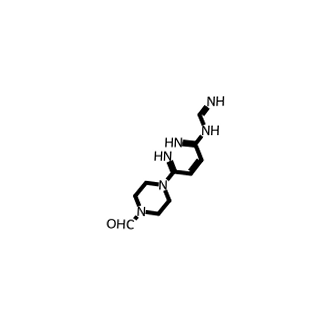 N=CNC(=N)/C=C\C(=N)N1CCN(C=O)CC1